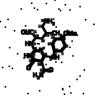 COc1ccc(Nc2nc(NC(C=O)CC(C)CN)[nH]c(=O)c2C(N)=O)cc1